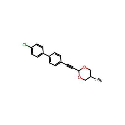 CCCCC1COC(C#Cc2ccc(-c3ccc(Cl)cc3)cc2)OC1